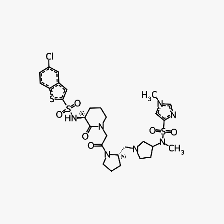 CN(C1CCN(C[C@@H]2CCCN2C(=O)CN2CCC[C@H](NS(=O)(=O)c3cc4cc(Cl)ccc4s3)C2=O)C1)S(=O)(=O)c1cn(C)cn1